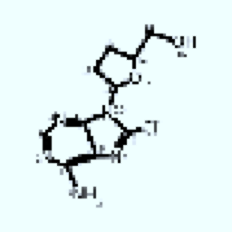 Nc1ncnc2c1nc(Cl)n2C1CCC(CO)O1